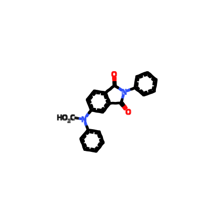 O=C1c2ccc(N(C(=O)O)c3ccccc3)cc2C(=O)N1c1ccccc1